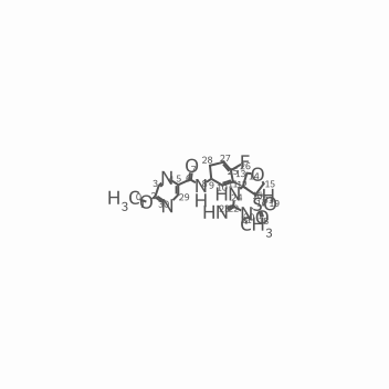 COc1cnc(C(=O)NC2C=C([C@@]34COC[C@@H]3S(=O)(=O)N(C)C(=N)N4)C(F)=CC2)cn1